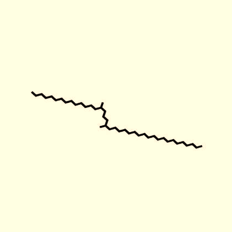 CCCCCCCCCCCCCCCCCCCCC(C)CCCC(C)CCCCCCCCCCCCCC